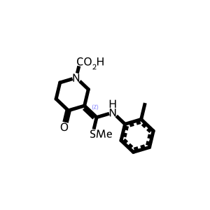 CS/C(Nc1ccccc1C)=C1/CN(C(=O)O)CCC1=O